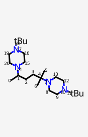 CC(CCC(C)(C)N1CCN(C(C)(C)C)CC1)N1CCN(C(C)(C)C)CC1